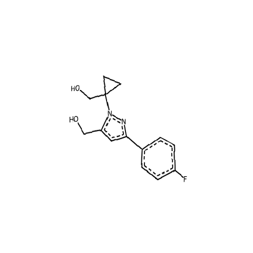 OCc1cc(-c2ccc(F)cc2)nn1C1(CO)CC1